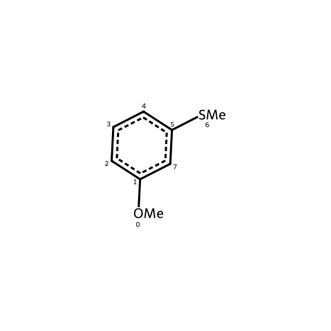 COc1cccc(SC)c1